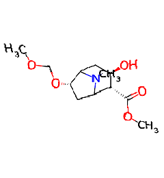 COCO[C@H]1CC2[C@@H](C(=O)OC)[C@H](O)CC1N2C